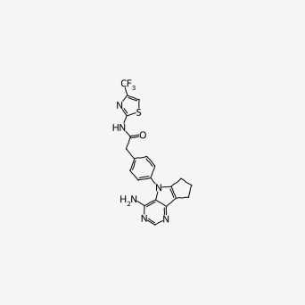 Nc1ncnc2c3c(n(-c4ccc(CC(=O)Nc5nc(C(F)(F)F)cs5)cc4)c12)CCC3